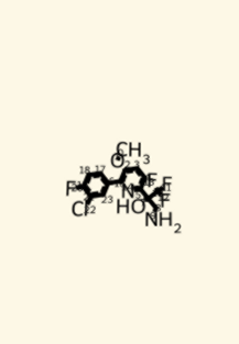 COc1ccc(C(O)(CN)C(F)(F)F)nc1-c1ccc(F)c(Cl)c1